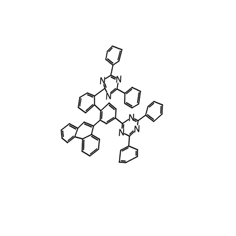 c1ccc(-c2nc(-c3ccccc3)nc(-c3ccc(-c4ccccc4-c4nc(-c5ccccc5)nc(-c5ccccc5)n4)c(-c4cc5ccccc5c5ccccc45)c3)n2)cc1